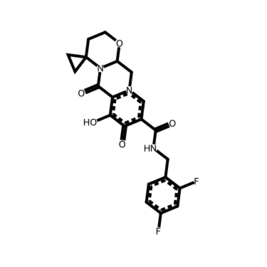 O=C(NCc1ccc(F)cc1F)c1cn2c(c(O)c1=O)C(=O)N1C(C2)OCCC12CC2